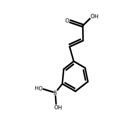 O=C(O)/C=C/c1cccc(B(O)O)c1